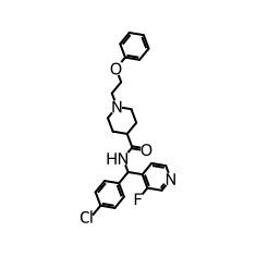 O=C(NC(c1ccc(Cl)cc1)c1ccncc1F)C1CCN(CCOc2ccccc2)CC1